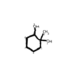 CC1(O)CCCCC1O